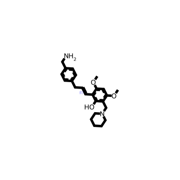 COc1cc(OC)c(CN2CCCCC2)c(O)c1/C=C/Cc1ccc(CN)cc1